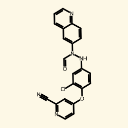 N#Cc1cc(Oc2ccc(NN(C=O)c3ccc4ncccc4c3)cc2Cl)ccn1